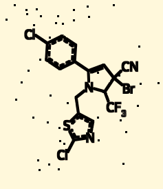 N#CC1(Br)C=C(c2ccc(Cl)cc2)N(Cc2cnc(Cl)s2)C1C(F)(F)F